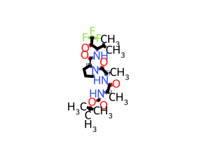 CC(C)C(NC(=O)[C@@H]1CCCN1C(=O)[C@H](C)NC(=O)[C@H](C)NC(=O)OC(C)(C)C)C(=O)C(F)(F)F